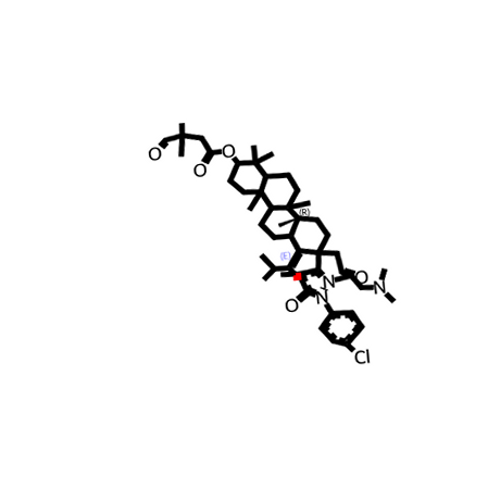 C/C(=C1/C2CCC3C4(C)CCC(OC(=O)CC(C)(C)C=O)C(C)(C)C4CCC3(C)[C@]2(C)CCC1(CC=O)c1c(C)c(=O)n(-c2ccc(Cl)cc2)n1CCN(C)C)C(C)C